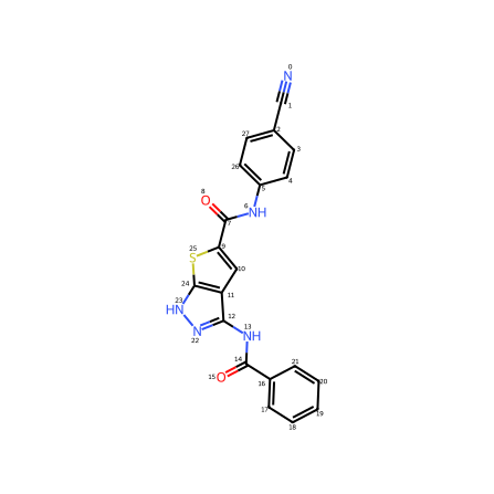 N#Cc1ccc(NC(=O)c2cc3c(NC(=O)c4ccccc4)n[nH]c3s2)cc1